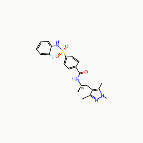 Cc1nn(C)c(C)c1C[C@@H](C)NC(=O)c1ccc(S(=O)(=O)Nc2ccccc2F)cc1